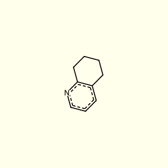 c1cnc2c(c1)CCCC2